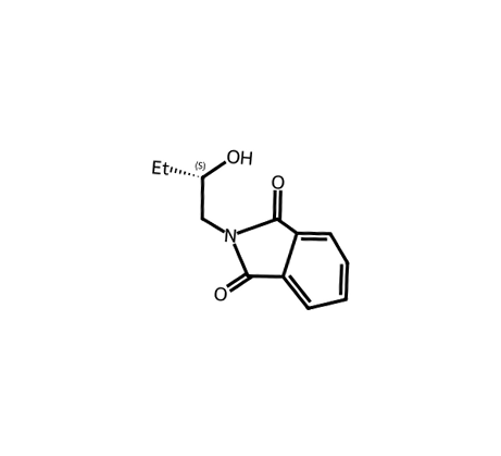 CC[C@H](O)CN1C(=O)c2ccccc2C1=O